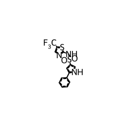 O=S(=O)(Nc1ncc(C(F)(F)F)s1)c1c[nH]c(-c2ccccc2)c1